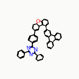 C1=CC2Oc3cccc(-c4ccc5c6ccccc6c6ccccc6c5c4)c3C2C=C1c1ccc(-c2nc(-c3ccccc3)nc(-c3ccccc3)n2)cc1